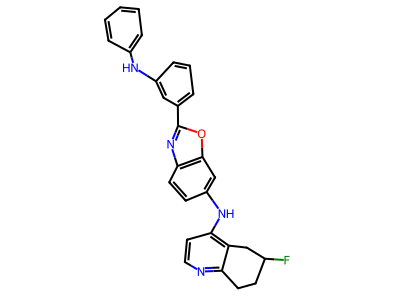 FC1CCc2nccc(Nc3ccc4nc(-c5cccc(Nc6ccccc6)c5)oc4c3)c2C1